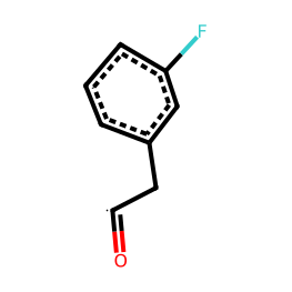 O=[C]Cc1cccc(F)c1